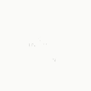 CCc1ccc(S(=O)(=O)Nc2c(C)cc(C)c(N3CCCC3)c2C)cc1